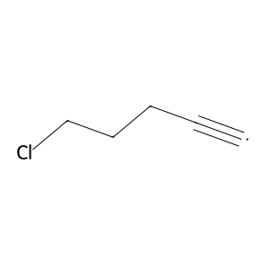 [C]#CCCCCl